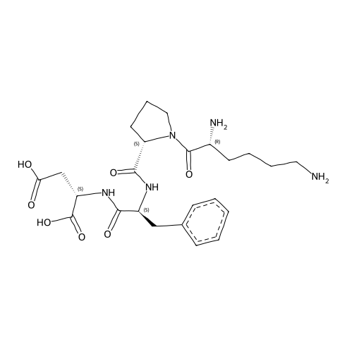 NCCCC[C@@H](N)C(=O)N1CCC[C@H]1C(=O)N[C@@H](Cc1ccccc1)C(=O)N[C@@H](CC(=O)O)C(=O)O